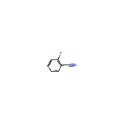 N#Cc1ccc[c]c1F